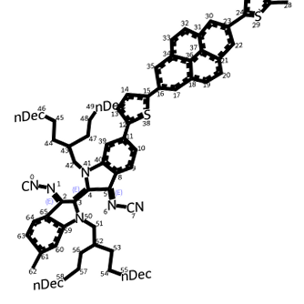 [C-]#[N+]/N=C1/C(=C2/C(=N/C#N)c3ccc(-c4ccc(-c5cc6ccc7cc(-c8ccc(C)s8)cc8ccc(c5)c6c78)s4)cc3N2CC(CCCCCCCCCCCC)CCCCCCCCCCCC)N(CC(CCCCCCCCCCCC)CCCCCCCCCCCC)c2cc(C)ccc21